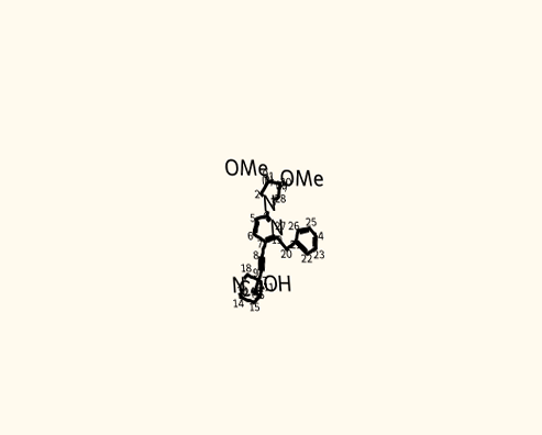 CO[C@@H]1CN(c2ccc(C#C[C@@]3(O)CN4CCC3CC4)c(Cc3ccccc3)n2)C[C@H]1OC